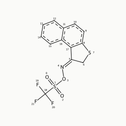 O=S(=O)(ON=C1CSc2ccc3ccccc3c21)C(F)(F)F